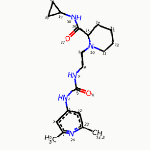 Cc1cc(NC(=O)NCCN2CC[CH]CC2C(=O)NC2CC2)cc(C)n1